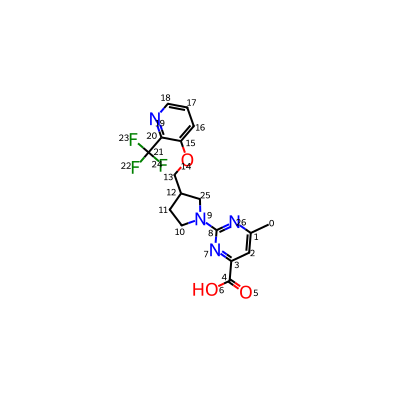 Cc1cc(C(=O)O)nc(N2CCC(COc3cccnc3C(F)(F)F)C2)n1